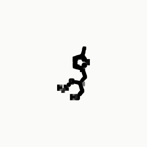 Cc1ccn(C[C@@H](CO)ON)n1